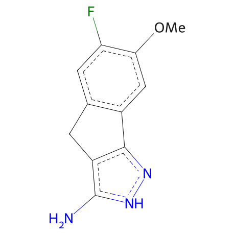 COc1cc2c(cc1F)Cc1c-2n[nH]c1N